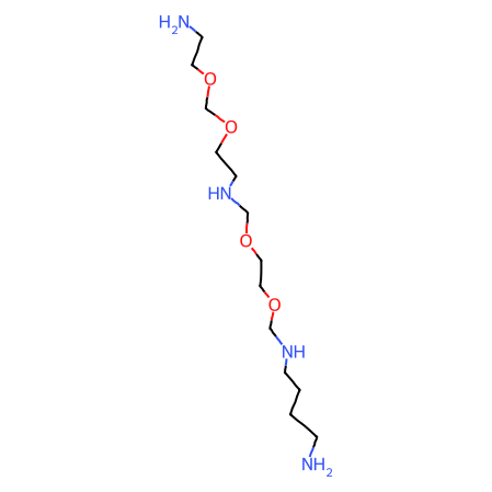 NCCCCNCOCCOCNCCOCOCCN